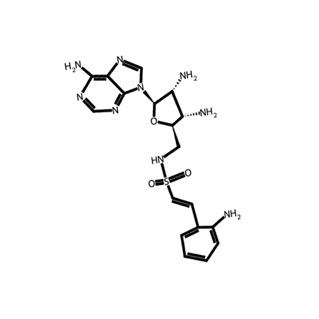 Nc1ccccc1/C=C/S(=O)(=O)NC[C@H]1O[C@@H](n2cnc3c(N)ncnc32)[C@H](N)[C@@H]1N